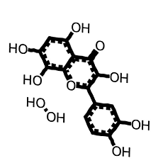 O=c1c(O)c(-c2ccc(O)c(O)c2)oc2c(O)c(O)cc(O)c12.OO